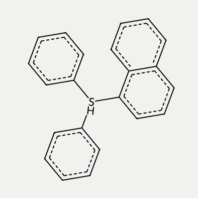 c1ccc([SH](c2ccccc2)c2cccc3ccccc23)cc1